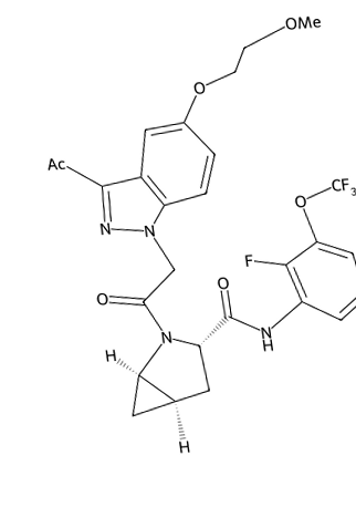 COCCOc1ccc2c(c1)c(C(C)=O)nn2CC(=O)N1[C@@H]2C[C@@H]2C[C@H]1C(=O)Nc1cccc(OC(F)(F)F)c1F